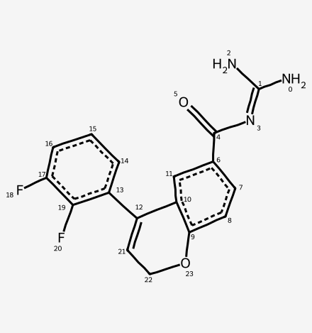 NC(N)=NC(=O)c1ccc2c(c1)C(c1cccc(F)c1F)=CCO2